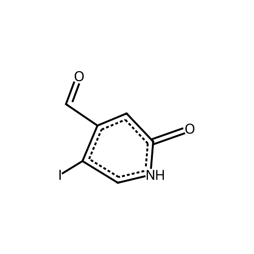 O=Cc1cc(=O)[nH]cc1I